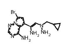 N/C(=C\N(N)CC1CC1)c1cc(Br)n2ncnc(N)c12